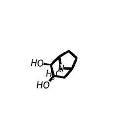 CN1C2CCC1[C@H](O)C(O)C2